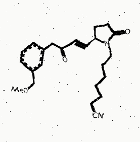 COCc1cccc(CC(=O)C=C[C@H]2CCC(=O)N2CCCCCCC#N)c1